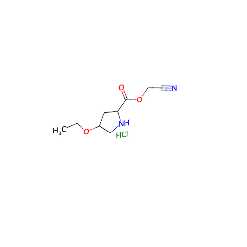 CCOC1CNC(C(=O)OCC#N)C1.Cl